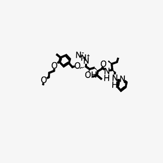 CC[C@H](C)[C@@H](CNc1ccccn1)NC(=O)[C@@H](C[C@H](O)[C@H](COCc1ccc(C)c(OCCCOC)c1)N=[N+]=[N-])C(C)C